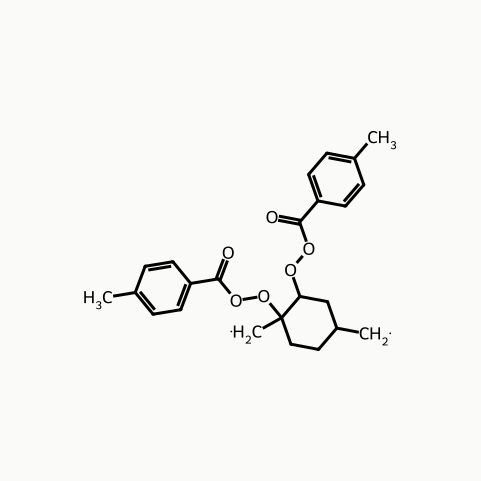 [CH2]C1CCC([CH2])(OOC(=O)c2ccc(C)cc2)C(OOC(=O)c2ccc(C)cc2)C1